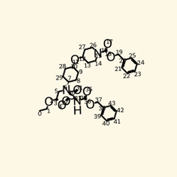 CCOC(=O)CN([C@H]1CC[C@H](OC2CCN(C(=O)OCc3ccccc3)CC2)CC1)S(=O)(=O)NC(=O)OCc1ccccc1